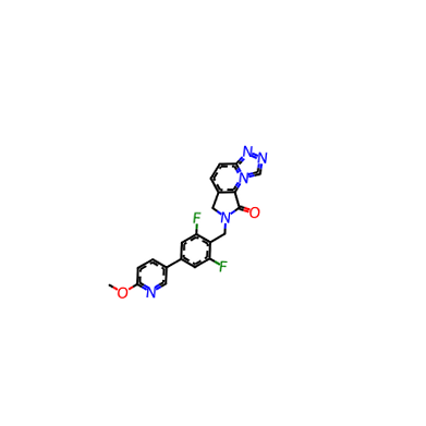 COc1ccc(-c2cc(F)c(CN3Cc4ccc5nncn5c4C3=O)c(F)c2)cn1